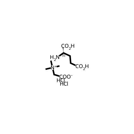 C[N+](C)(C)CC(=O)[O-].Cl.Cl.N[C@@H](CCC(=O)O)C(=O)O